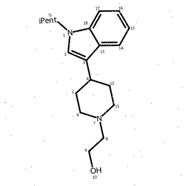 CCCC(C)n1cc(C2CCN(CCO)CC2)c2ccccc21